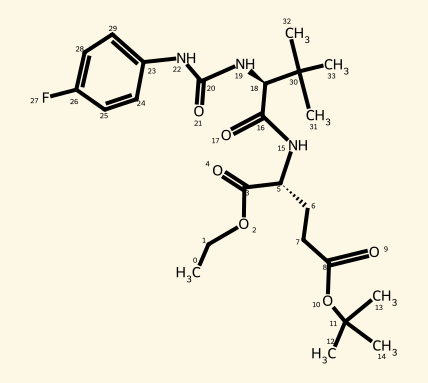 CCOC(=O)[C@@H](CCC(=O)OC(C)(C)C)NC(=O)[C@@H](NC(=O)Nc1ccc(F)cc1)C(C)(C)C